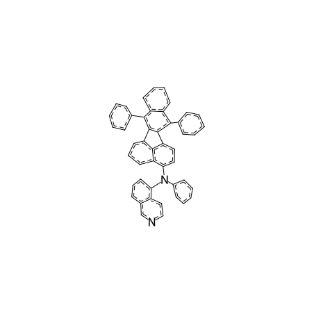 c1ccc(-c2c3c(c(-c4ccccc4)c4ccccc24)-c2ccc(N(c4ccccc4)c4cccc5cnccc45)c4cccc-3c24)cc1